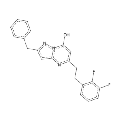 Oc1cc(CCc2cccc(F)c2F)nc2cc(Cc3ccccc3)nn12